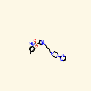 Cc1ccc(NS(=O)(=O)c2cnn(CCCCN3CCN(c4ncccn4)CC3)c2)cc1